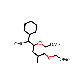 COCOCC(C)CC(OCOC)C(C=O)C1CCCCC1